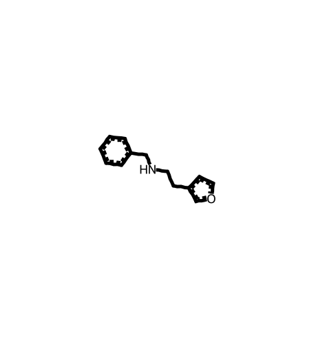 c1ccc(CNCCc2ccoc2)cc1